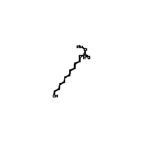 CC(C)(C)O[PH](=O)OCCCCCCCCCCO